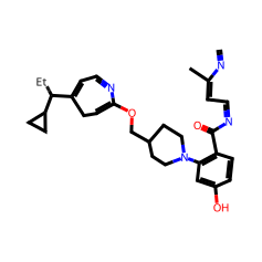 C=N/C(C)=C\C=N/C(=O)c1ccc(O)cc1N1CCC(COC2=CCC(C(CC)C3CC3)=CC=N2)CC1